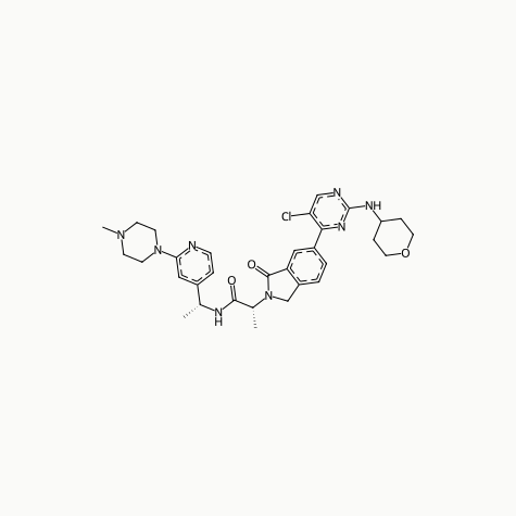 C[C@H](C(=O)N[C@H](C)c1ccnc(N2CCN(C)CC2)c1)N1Cc2ccc(-c3nc(NC4CCOCC4)ncc3Cl)cc2C1=O